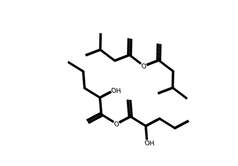 C=C(CC(C)C)OC(=C)CC(C)C.C=C(OC(=C)C(O)CCC)C(O)CCC